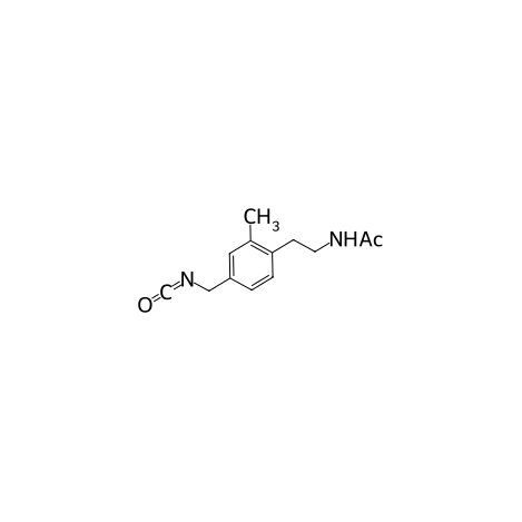 CC(=O)NCCc1ccc(CN=C=O)cc1C